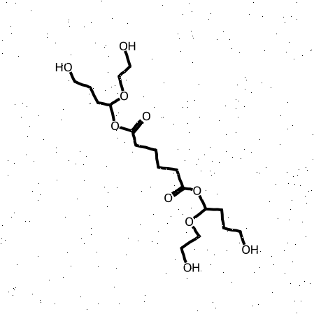 O=C(CCCCC(=O)OC(CCCO)OCCO)OC(CCCO)OCCO